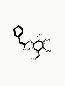 CCOC(=O)/C(=C/c1ccccc1)O[C@@H]1O[C@H](COC(C)=O)C(OC(C)=O)[C@H](OC(C)=O)[C@H]1OC(C)=O